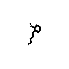 COc1ccccc1[CH]CCCF